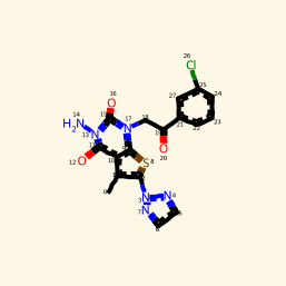 Cc1c(-n2nccn2)sc2c1c(=O)n(N)c(=O)n2CC(=O)c1cccc(Cl)c1